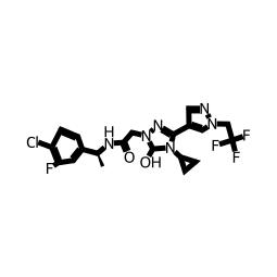 C[C@H](NC(=O)CN1N=C(c2cnn(CC(F)(F)F)c2)N(C2CC2)C1O)c1ccc(Cl)c(F)c1